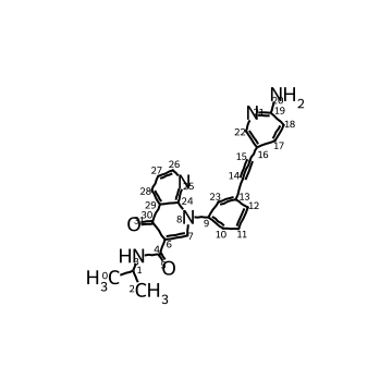 CC(C)NC(=O)c1cn(-c2cccc(C#Cc3ccc(N)nc3)c2)c2ncccc2c1=O